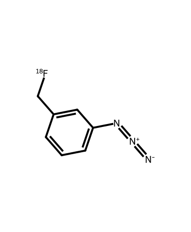 [N-]=[N+]=Nc1cccc(C[18F])c1